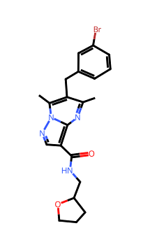 Cc1nc2c(C(=O)NCC3CCCO3)cnn2c(C)c1Cc1cccc(Br)c1